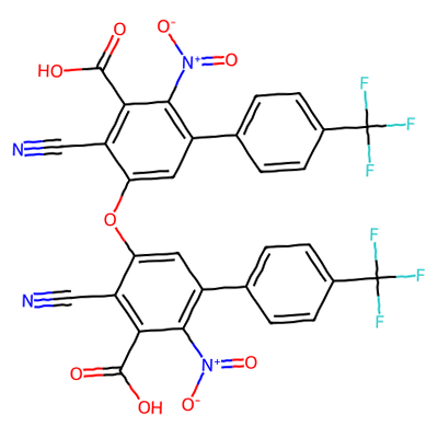 N#Cc1c(Oc2cc(-c3ccc(C(F)(F)F)cc3)c([N+](=O)[O-])c(C(=O)O)c2C#N)cc(-c2ccc(C(F)(F)F)cc2)c([N+](=O)[O-])c1C(=O)O